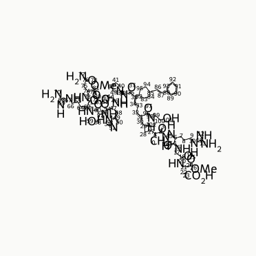 C=C(C(=O)NN[C@@H](CCCNC(=N)N)C(=O)NCC(=O)N[C@@H](CC(=O)O)C(=O)OC)C1CC(/C=C(/CC/C=C(/C(=O)NN2CCC[C@H]2C(=O)N[C@@H](Cc2cnc[nH]2)C(=O)NC(CO)C(=O)N[C@@H](CCCNC(=N)N)C(=O)NC(CC(N)=O)C(=O)OC)C2CCC(C=Cc3ccccc3)CC2)C(=O)NCCO)C1